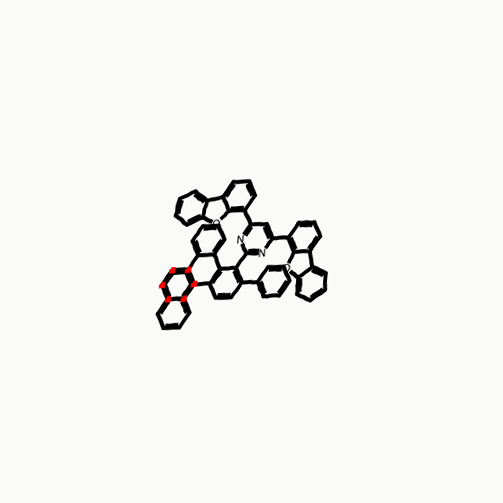 c1ccc(-c2ccccc2-c2c(-c3cccc4ccccc34)ccc(-c3ccccc3)c2-c2nc(-c3cccc4c3oc3ccccc34)cc(-c3cccc4c3oc3ccccc34)n2)cc1